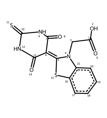 O=C(O)CN1C(=C2C(=O)NC(=S)NC2=O)Sc2ccccc21